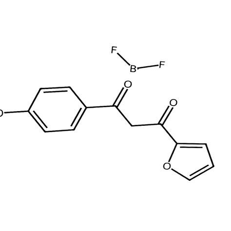 COc1ccc(C(=O)CC(=O)c2ccco2)cc1.F[B]F